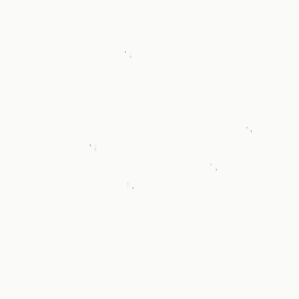 CNc1ncc(-c2[nH]c(-c3ccccc3)nc2-c2ccncc2)cc1OC